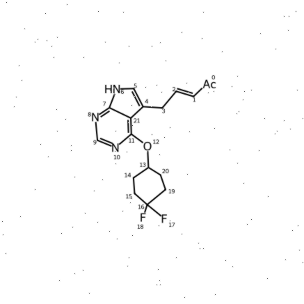 CC(=O)C=CCc1c[nH]c2ncnc(OC3CCC(F)(F)CC3)c12